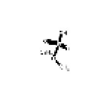 COS(=O)(=O)O.[CaH2]